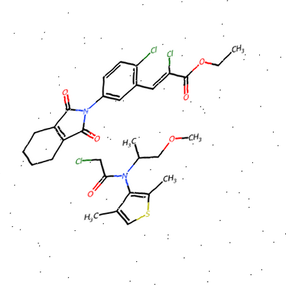 CCOC(=O)/C(Cl)=C/c1cc(N2C(=O)C3=C(CCCC3)C2=O)ccc1Cl.COCC(C)N(C(=O)CCl)c1c(C)csc1C